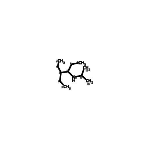 CCC(CC)C(CC)NC(C)C